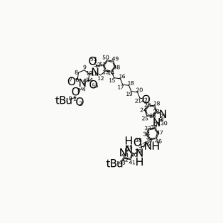 CC(C)(C)C(=O)OCN1C(=O)CCC(N2Cc3c(CCCCCCCOc4ccc5c(c4)ncn5-c4ccc(NC(=O)Nc5cc(C(C)(C)C)n[nH]5)cc4)cccc3C2=O)C1=O